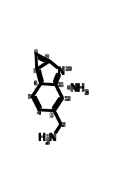 N.NCc1ccc2c3cc-3nc2c1